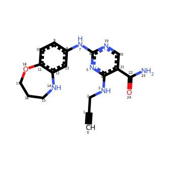 C#CCNc1nc(Nc2ccc3c(c2)NCCCO3)ncc1C(N)=O